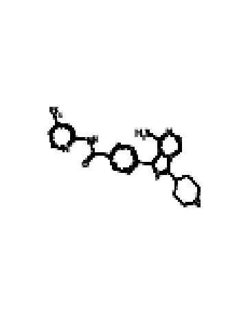 Nc1nccn2c(C3CCOCC3)nc(-c3ccc(C(=O)Nc4cc(C(F)(F)F)ccn4)cc3)c12